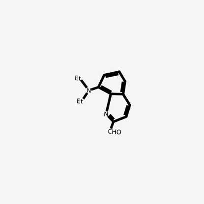 CCN(CC)c1cccc2ccc(C=O)nc12